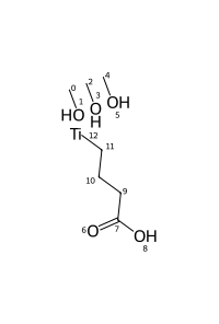 CO.CO.CO.O=C(O)CC[CH2][Ti]